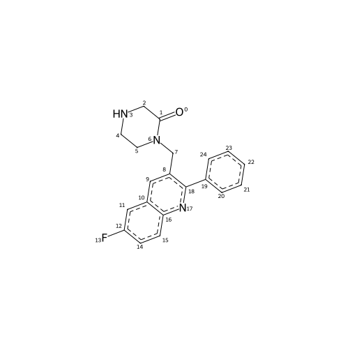 O=C1CNCCN1Cc1cc2cc(F)ccc2nc1-c1ccccc1